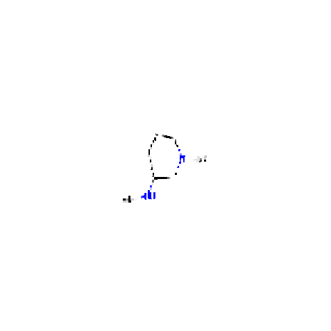 CCNC1CCCN(CC)C1